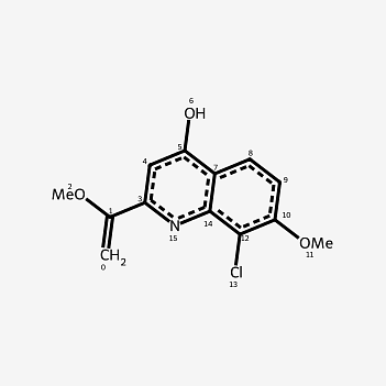 C=C(OC)c1cc(O)c2ccc(OC)c(Cl)c2n1